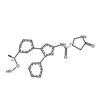 CCCO[C@@H](C)c1cccc(-c2cc(NC(=O)[C@@H]3CNC(=O)C3)nn2-c2ccccc2)c1